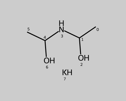 CC(O)NC(C)O.[KH]